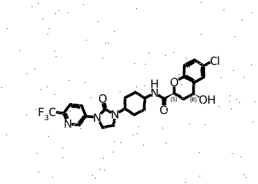 O=C(NC1CCC(N2CCN(c3ccc(C(F)(F)F)nc3)C2=O)CC1)[C@@H]1C[C@@H](O)c2cc(Cl)ccc2O1